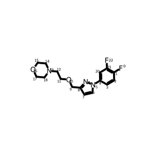 Fc1ccc(-n2ccc(COCCN3CCOCC3)n2)cc1F